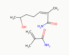 C=C(C)C(N)=O.CC(=CCCC(C)O)C(N)=O